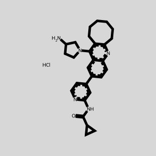 Cl.NC1CCN(c2c3c(nc4ccc(-c5ccnc(NC(=O)C6CC6)c5)cc24)CCCCCC3)C1